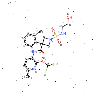 Cc1ccc(NC(=O)C2(c3ccccc3C(C)C)CN(S(=O)(=O)NCCO)C2)c(OC(F)F)n1